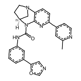 Cc1cc(-c2ccc3c(n2)N(C(=O)Nc2cccc(-c4cnco4)c2)[C@H]2CCN3C2)ccn1